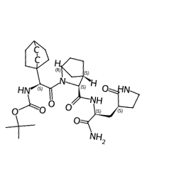 CC(C)(C)OC(=O)N[C@H](C(=O)N1[C@@H]2CC[C@@H](C2)[C@H]1C(=O)N[C@@H](C[C@@H]1CCNC1=O)C(N)=O)C12CCC(CC1)CC2